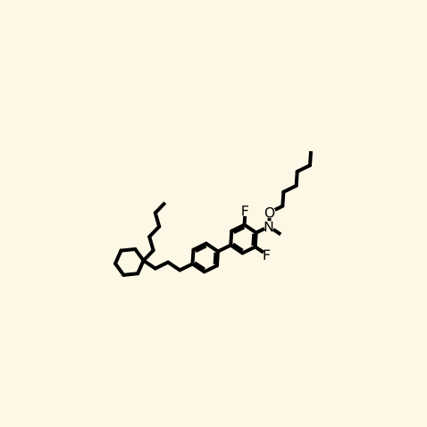 CCCCCCON(C)c1c(F)cc(-c2ccc(CCCC3(CCCCC)CCCCC3)cc2)cc1F